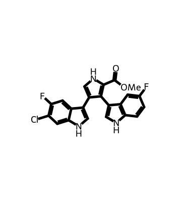 COC(=O)c1[nH]cc(-c2c[nH]c3cc(Cl)c(F)cc23)c1-c1c[nH]c2ccc(F)cc12